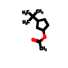 CC(=O)OC1CCC(C(C)(C)C)C1